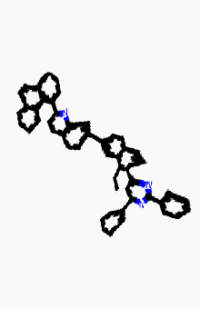 CCc1c(-c2cc(-c3ccccc3)nc(-c3ccccc3)n2)ccc2ccc(-c3ccc4ccc(-c5cccc6ccc7ccccc7c56)nc4c3)cc12